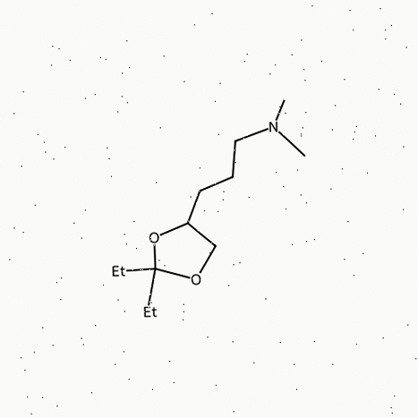 CCC1(CC)OCC(CCCN(C)C)O1